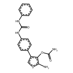 NC(=O)Oc1c(-c2ccc(NC(=O)Nc3ccccc3)cc2)csc1N